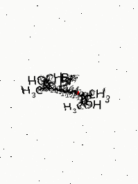 CCC[N+](CCC)(CCO)CCCCCCCCCCCCCC[N+](CCC)(CCC)CCO.[Br-].[Br-]